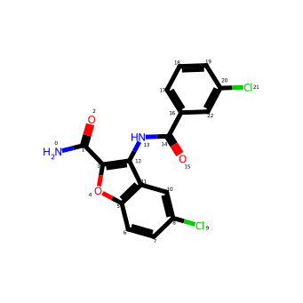 NC(=O)c1oc2ccc(Cl)cc2c1NC(=O)c1cccc(Cl)c1